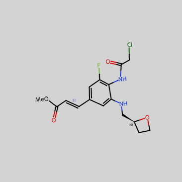 COC(=O)/C=C/c1cc(F)c(NC(=O)CCl)c(NC[C@@H]2CCO2)c1